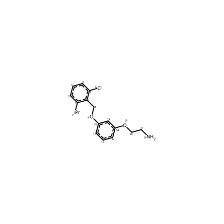 CC(C)c1cccc(Cl)c1COc1cccc(OCCN)c1